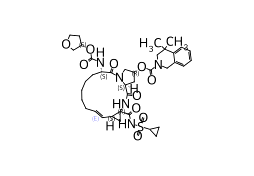 CC1(C)CN(C(=O)O[C@@H]2C[C@H]3C(=O)N[C@]4(C(=O)NS(=O)(=O)C5CC5)C[C@H]4/C=C/CCCCC[C@H](NC(=O)O[C@H]4CCOC4)C(=O)N3C2)Cc2ccccc21